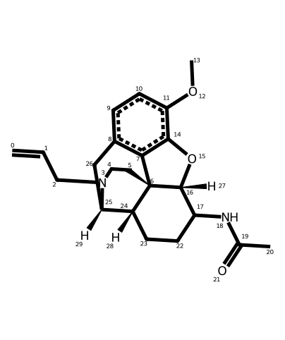 C=CCN1CC[C@@]23c4c5ccc(OC)c4O[C@@H]2C(NC(C)=O)CC[C@@H]3[C@@H]1C5